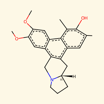 COc1cc2c3c(c4cc(C)c(O)c(C)c4c2cc1OC)C[C@@H]1CCCN1C3